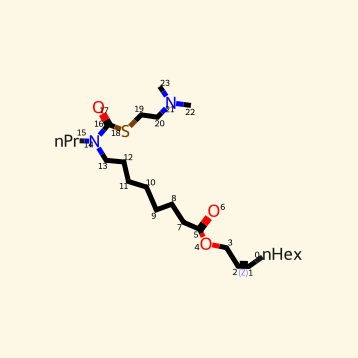 CCCCCC/C=C\COC(=O)CCCCCCCN(CCC)C(=O)SCCN(C)C